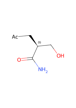 CC(=O)C[C@@H](CO)C(N)=O